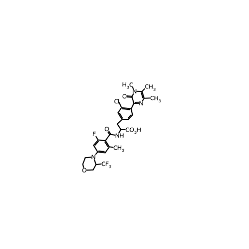 Cc1cc(N2CCOCC2C(F)(F)F)cc(F)c1C(=O)NC(Cc1ccc(-c2nc(C)c(C)n(C)c2=O)c(Cl)c1)C(=O)O